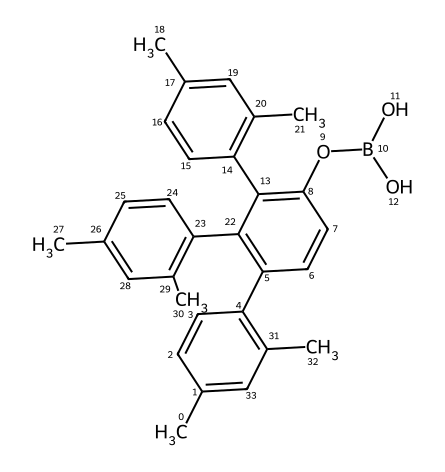 Cc1ccc(-c2ccc(OB(O)O)c(-c3ccc(C)cc3C)c2-c2ccc(C)cc2C)c(C)c1